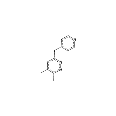 Cc1cc(Cc2ccncc2)nnc1C